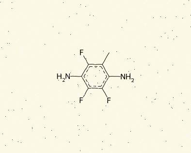 Cc1c(N)c(F)c(F)c(N)c1F